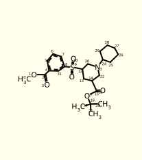 COC(=O)c1cccc(S(=O)(=O)C2CC(C(=O)OC(C)(C)C)CN(C3CCCCC3)C2)c1